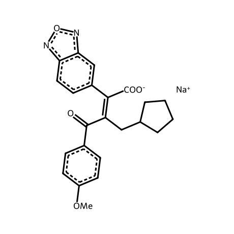 COc1ccc(C(=O)/C(CC2CCCC2)=C(/C(=O)[O-])c2ccc3nonc3c2)cc1.[Na+]